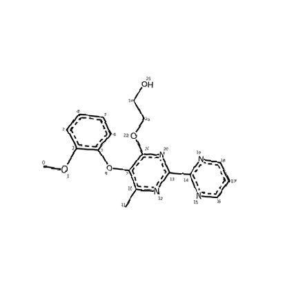 COc1ccccc1Oc1c(C)nc(-c2ncccn2)nc1OCCO